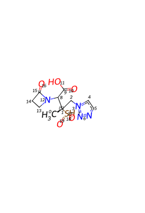 C[C@](Cn1ccnn1)(C(C(=O)O)N1CCC1=O)[SH](=O)=O